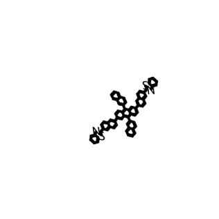 c1ccc2cc(-c3c4ccc(-c5ccc6cc(-c7nc8ccccc8s7)ccc6c5)cc4c(-c4ccc5ccccc5c4)c4ccc(-c5ccc6cc(-c7nc8ccccc8s7)ccc6c5)cc34)ccc2c1